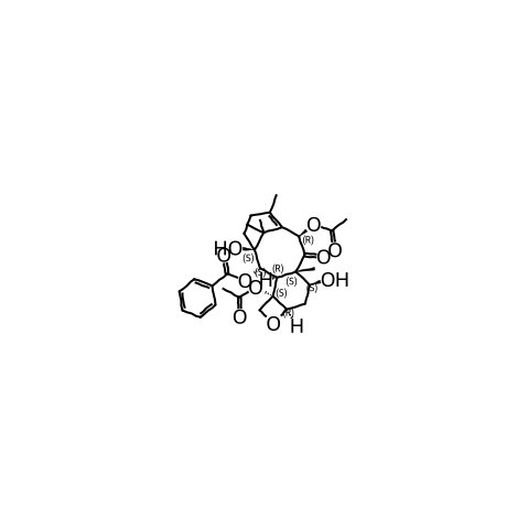 CC(=O)O[C@H]1C(=O)[C@@]2(C)[C@H]([C@H](OC(=O)c3ccccc3)[C@]3(O)CCC(C)=C1C3(C)C)[C@]1(OC(C)=O)CO[C@@H]1C[C@@H]2O